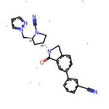 N#Cc1cccc(-c2ccc3c(c2)C(=O)N([C@@H]2C[C@@H](Cn4cccn4)N(C#N)C2)C3)c1